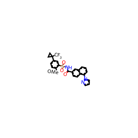 COc1ccc(C2(C(F)(F)F)CC2)cc1S(=O)(=O)NC(=O)c1ccc2c(-n3cccn3)cccc2c1